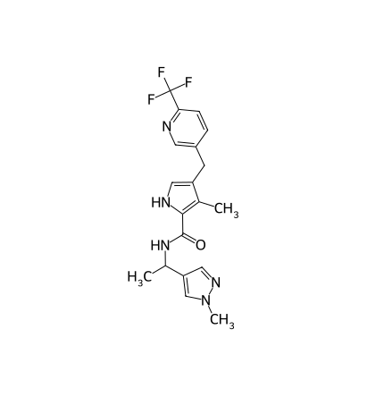 Cc1c(Cc2ccc(C(F)(F)F)nc2)c[nH]c1C(=O)NC(C)c1cnn(C)c1